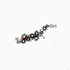 CCCCCCCCOc1ccc(-c2ccc(-c3ccc4c(c3)C3(c5cc(-c6ccc7c(c6)C6(c8cc(Br)ccc8-7)C7(C)CCCC6(C)CCC7)ccc5-4)C4(C)CCCC3(C)CCC4)s2)cc1